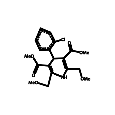 COCC1=C(C(=O)OC)C(c2ccccc2Cl)C(C(=O)OC)=C(COC)N1